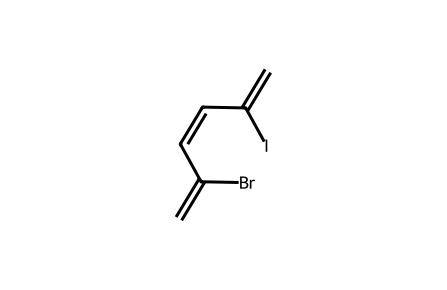 C=C(Br)/C=C\C(=C)I